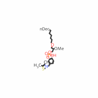 CCCCCCCCCCCCCCCCOCC(COP(=O)(O)Oc1cccc(CN2CSC(C)=C2C)c1)OC